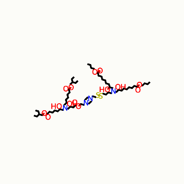 CCCCOC(=O)CCCCCCC(O)CN(CCCCSSCCN1CCN(CCOC(=O)CCCN(CC(O)CCCCC(=O)OCC(CC)CC)CC(O)CCCCC(=O)OCC(CC)CC)CC1)CC(O)CCCCCCC(=O)OCCCC